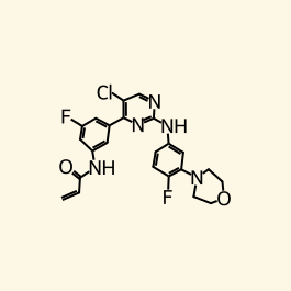 C=CC(=O)Nc1cc(F)cc(-c2nc(Nc3ccc(F)c(N4CCOCC4)c3)ncc2Cl)c1